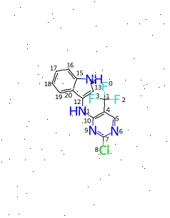 FC(F)(F)c1cnc(Cl)nc1Nc1c[nH]c2ccccc12